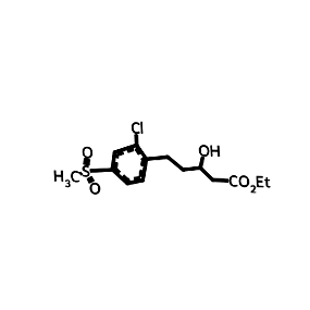 CCOC(=O)CC(O)CCc1ccc(S(C)(=O)=O)cc1Cl